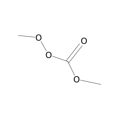 COOC(=O)OC